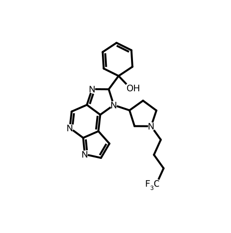 OC1(C2N=c3cnc4c(c3N2C2CCN(CCCC(F)(F)F)C2)C=CN=4)C=CC=CC1